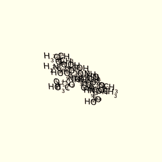 CC(=O)C(CCC(=O)O)CNC1C(OC2C(CO)OC(OC(C)(C)C)C(N)C2O)OC(CO)C(OC2OC(CO)C(OC3OC(CO)C(OC(C)(C)C)C(O)C3NCCC(=O)O)C(O)C2N)C1O